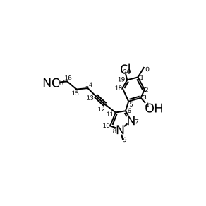 Cc1cc(O)c(-c2nn(C)cc2C#CCCCC#N)cc1Cl